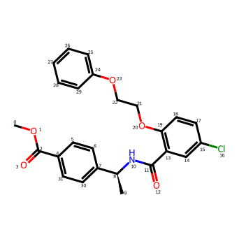 COC(=O)c1ccc([C@H](C)NC(=O)c2cc(Cl)ccc2OCCOc2ccccc2)cc1